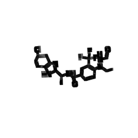 CCN(NC=O)c1ccc(C(=O)N[C@@H](C)c2nc3cc(Cl)ccc3[nH]2)cc1C(F)(F)F